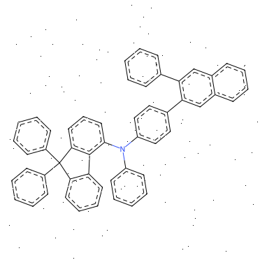 c1ccc(-c2cc3ccccc3cc2-c2ccc(N(c3ccccc3)c3cccc4c3-c3ccccc3C4(c3ccccc3)c3ccccc3)cc2)cc1